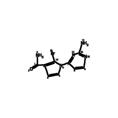 NC(=O)c1ccn(-c2ccnc(N)n2)c1Br